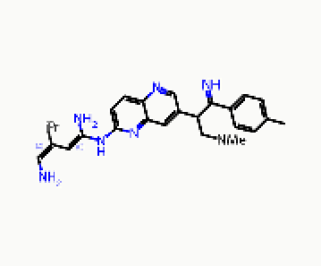 CNCC(C(=N)c1ccc(C)cc1)c1cnc2ccc(N/C(N)=C/C(=C\N)C(C)C)nc2c1